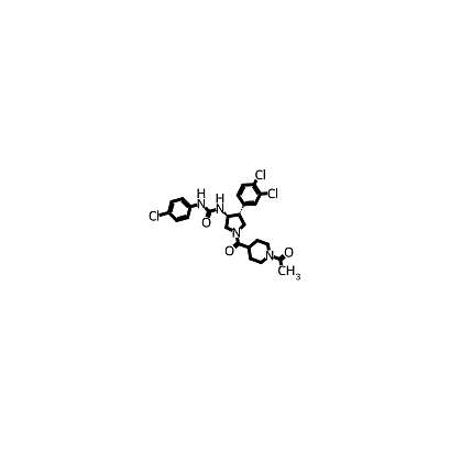 CC(=O)N1CCC(C(=O)N2C[C@@H](NC(=O)Nc3ccc(Cl)cc3)[C@H](c3ccc(Cl)c(Cl)c3)C2)CC1